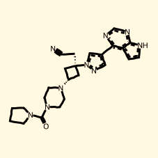 N#CC[C@]1(n2cc(-c3ncnc4[nH]ccc34)cn2)C[C@H](N2CCN(C(=O)N3CCCC3)CC2)C1